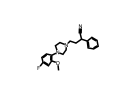 COc1cc(F)ccc1N1CCN(CCC(C#N)c2ccccc2)CC1